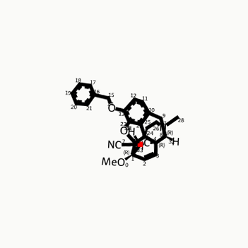 CO[C@]12C=C[C@@]3(C[C@H]1C#N)[C@H]1Cc4ccc(OCc5ccccc5)c5c4[C@@]3(CCN1C)[C@H]2O5